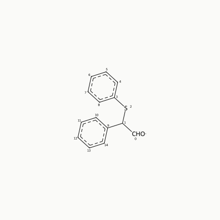 O=[C]C(Sc1ccccc1)c1ccccc1